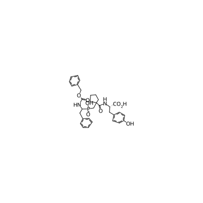 O=C(NC(Cc1ccccc1)P(=O)(O)CC1(C(=O)N[C@@H](Cc2ccc(O)cc2)C(=O)O)CCCC1)OCc1ccccc1